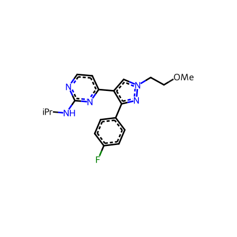 COCCn1cc(-c2ccnc(NC(C)C)n2)c(-c2ccc(F)cc2)n1